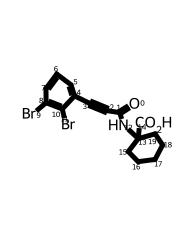 O=C(C#Cc1cccc(Br)c1Br)NC1(C(=O)O)CCCCC1